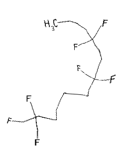 CCC(F)(F)CC(F)(F)CCCC(F)(F)F